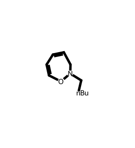 CCCCCN1CC=CC=CO1